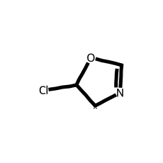 ClC1[C]N=CO1